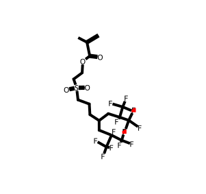 C=C(C)C(=O)OCCS(=O)(=O)CCCC(CC(F)(C(F)(F)F)C(F)(F)F)CC(F)(C(F)(F)F)C(F)(F)F